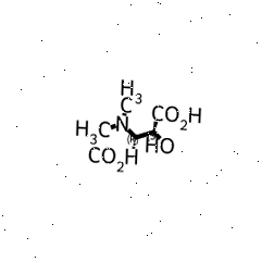 CN(C)[C@@H](C(=O)O)[C@H](O)C(=O)O